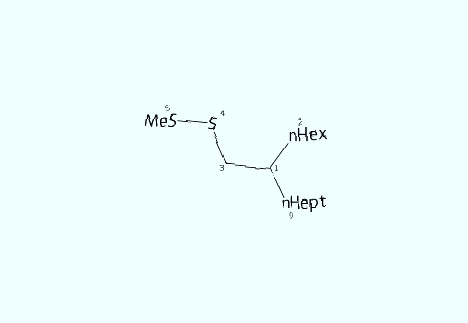 CCCCCCCC(CCCCCC)CSSC